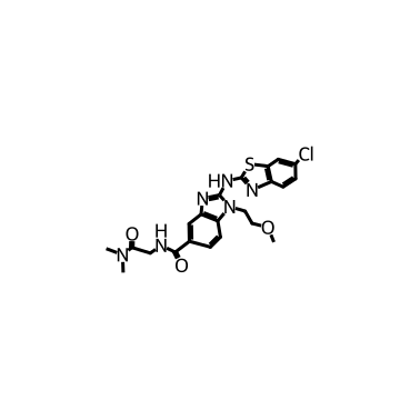 COCCn1c(Nc2nc3ccc(Cl)cc3s2)nc2cc(C(=O)NCC(=O)N(C)C)ccc21